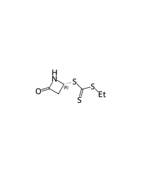 CCSC(=S)S[C@@H]1CC(=O)N1